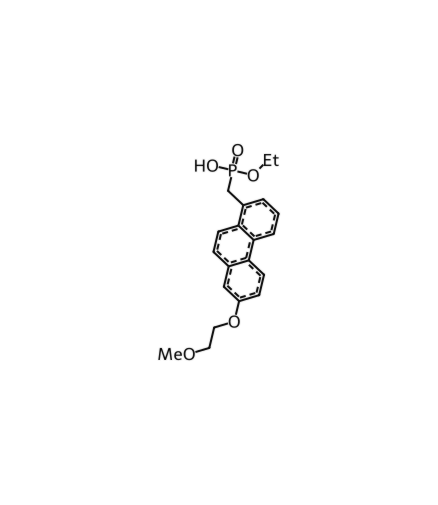 CCOP(=O)(O)Cc1cccc2c1ccc1cc(OCCOC)ccc12